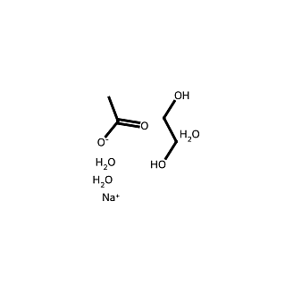 CC(=O)[O-].O.O.O.OCCO.[Na+]